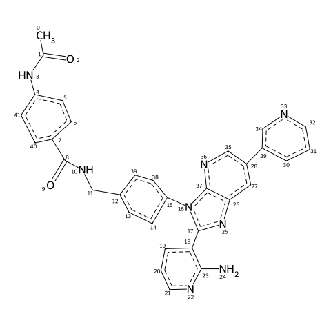 CC(=O)Nc1ccc(C(=O)NCc2ccc(-n3c(-c4cccnc4N)nc4cc(-c5cccnc5)cnc43)cc2)cc1